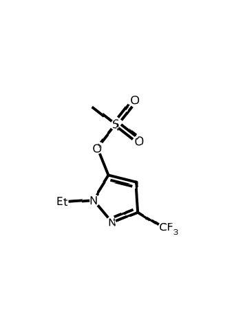 CCn1nc(C(F)(F)F)cc1OS(C)(=O)=O